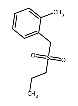 CCCS(=O)(=O)Cc1ccccc1C